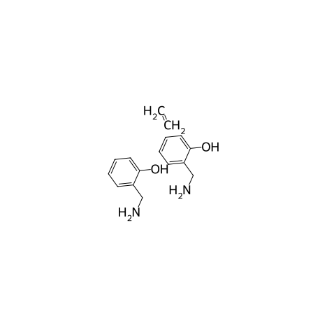 C=C.NCc1ccccc1O.NCc1ccccc1O